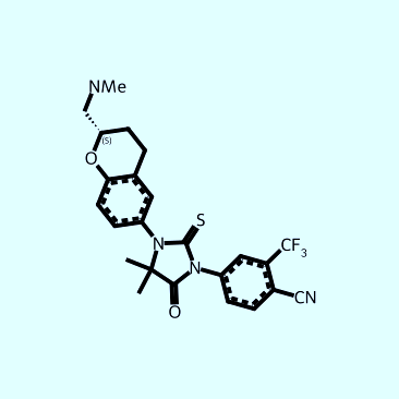 CNC[C@@H]1CCc2cc(N3C(=S)N(c4ccc(C#N)c(C(F)(F)F)c4)C(=O)C3(C)C)ccc2O1